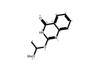 COC(C)Oc1nc2ccccc2c(=O)[nH]1